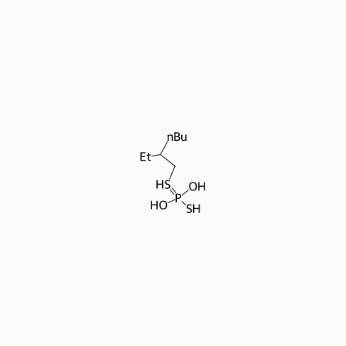 CCCCC(CC)C[SH]=P(O)(O)S